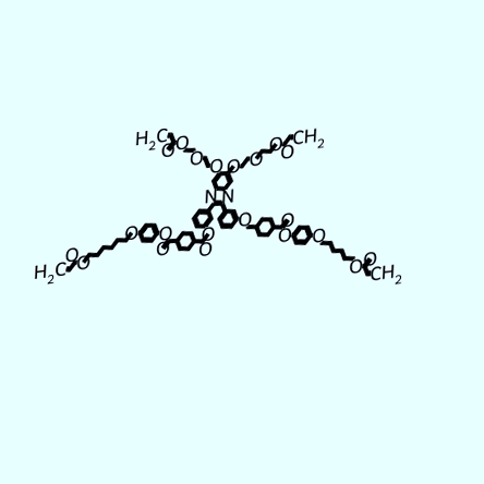 C=CC(=O)OCCCCCCOc1ccc(OC(=O)C2CCC(COc3cccc(-c4nc5cc(OCCOCCOC(=O)C=C)c(OCCOCCOC(=O)C=C)cc5nc4-c4cccc(OC(=O)C5CCC(C(=O)Oc6ccc(OCCCCCCOC(=O)C=C)cc6)CC5)c4)c3)CC2)cc1